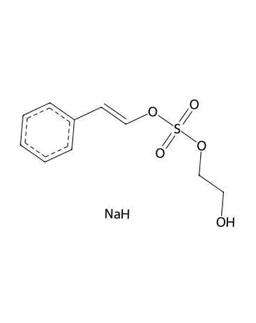 O=S(=O)(OC=Cc1ccccc1)OCCO.[NaH]